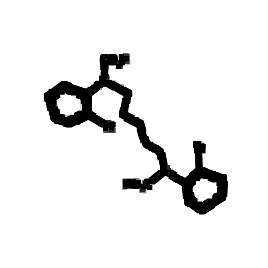 CCc1ccccc1N(CCCCCN(C(=O)O)c1ccccc1CC)C(=O)O